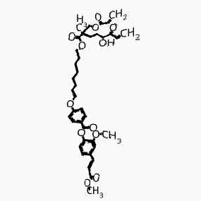 C=CC(=O)OCC(C)(CC[C@H](O)C(=O)C=C)C(=O)OCCCCCCCCOc1ccc(C(=O)Oc2ccc(/C=C/C(=O)OC)cc2OC)cc1